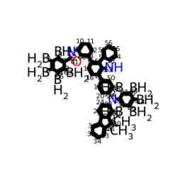 Bc1c(B)c(B)c(-c2nc3cccc(-c4ccc(-c5ccc(N(c6ccc7c(c6)C(C)(C)c6ccccc6-7)c6c(B)c(B)c(B)c(B)c6B)cc5)c5[nH]c6ccccc6c45)c3o2)c(B)c1B